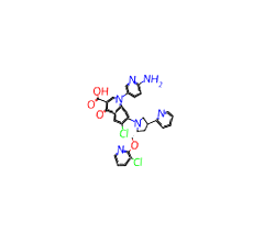 Nc1ccc(-n2cc(C(=O)O)c(=O)c3cc(Cl)c(N4CC(c5ccccn5)C[C@@H]4COc4ncccc4Cl)cc32)cn1